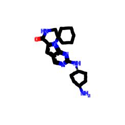 N[C@H]1CC[C@H](Nc2ncc3cc4n(c3n2)C2(CCCCC2)CNC4=O)CC1